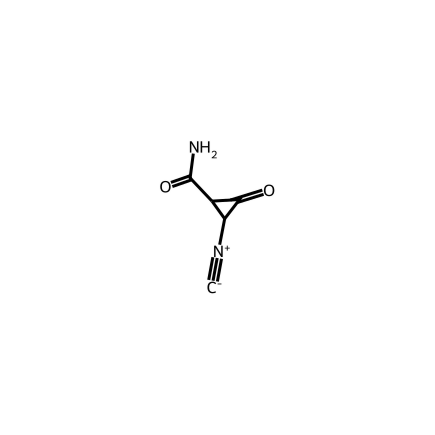 [C-]#[N+]C1C(=O)C1C(N)=O